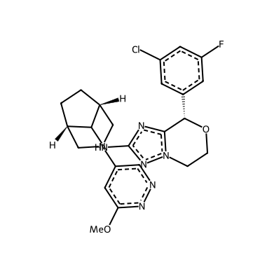 COc1cc(N2C[C@H]3CC[C@@H](C2)C3Nc2nc3n(n2)CCO[C@H]3c2cc(F)cc(Cl)c2)cnn1